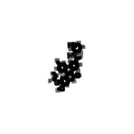 CC[C@@H](C)Oc1cc2c(cc1OC)CC(=O)N(c1ccc(C(C)N[C@H]3CCCNC3)cc1)C2c1ccc(C)cc1